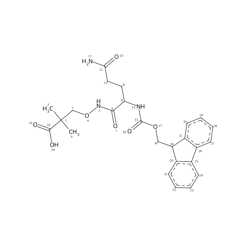 CC(C)(CONC(=O)C(CCC(N)=O)NC(=O)OCC1c2ccccc2-c2ccccc21)C(=O)O